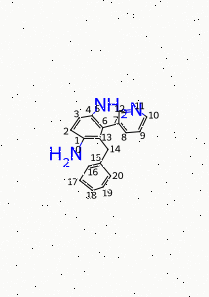 Nc1ccc(N)c(-c2cccnc2)c1Cc1ccccc1